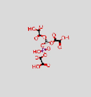 O=C(O)C(=O)OB(OC(=O)C(=O)O)OP(=O)(O)OC(=O)C(=O)O